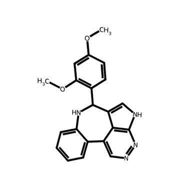 COc1ccc(C2Nc3ccccc3-c3cnnc4[nH]cc2c34)c(OC)c1